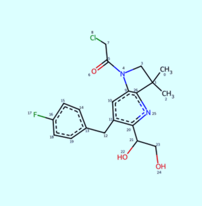 CC1(C)CN(C(=O)CCl)c2cc(Cc3ccc(F)cc3)c(C(O)CO)nc21